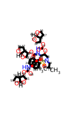 CC(C)CN(CC(OC(=O)O[C@H]1CO[C@H]2OCCC21)[C@H](Cc1ccccc1)NC(=O)O[C@H]1CO[C@H]2OCCC21)S(=O)(=O)c1ccc(NC(=O)O[C@@H]2CO[C@@H]3OCC[C@@H]32)cc1